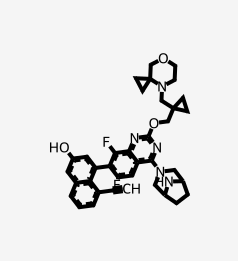 C#Cc1cccc2cc(O)cc(-c3c(F)cc4c(N5CC6CCC(C5)N6)nc(OCC5(CN6CCOCC67CC7)CC5)nc4c3F)c12